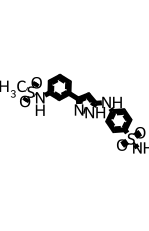 CS(=O)(=O)Nc1cccc(-c2cc(Nc3ccc(S(N)(=O)=O)cc3)[nH]n2)c1